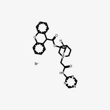 O=C(C[N+]12CCC(CC1)[C@@H](OC(=O)C1c3ccccc3Oc3ccccc31)C2)Nc1ncncn1.[Br-]